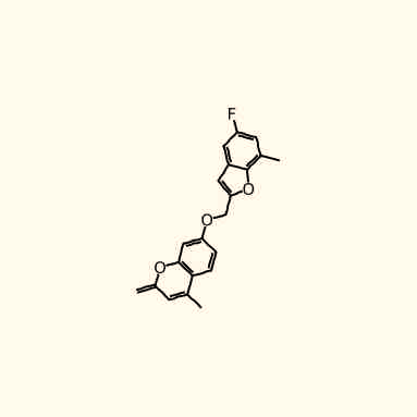 C=C1C=C(C)c2ccc(OCc3cc4cc(F)cc(C)c4o3)cc2O1